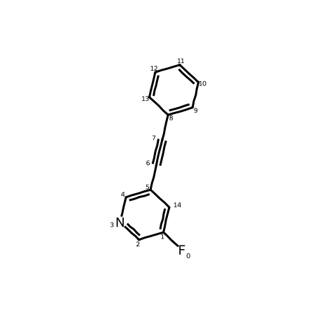 Fc1cncc(C#Cc2ccccc2)c1